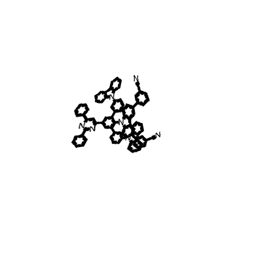 N#Cc1cccc(-c2ccc3c(c2)c2cc(-c4cccc(C#N)c4)ccc2n3-c2c(-c3cccc(-n4c5ccccc5c5ccccc54)c3)cc(-c3cc(-c4ccccc4)nc(-c4ccccc4)n3)cc2-c2cccc(-n3c4ccccc4c4ccccc43)c2)c1